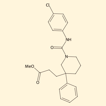 COC(=O)CCC1(c2ccccc2)CCCN(C(=O)Nc2ccc(Cl)cc2)C1